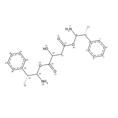 C[C@H](c1ccccc1)C(N)OC(=O)CC(O)C(=O)OC(N)[C@H](C)c1ccccc1